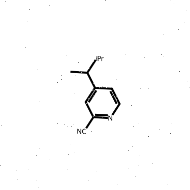 CC(C)C(C)c1ccnc(C#N)c1